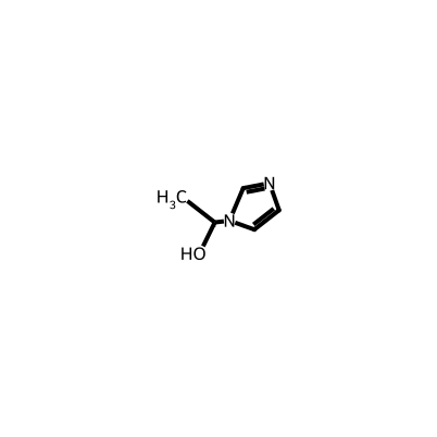 C[C](O)n1ccnc1